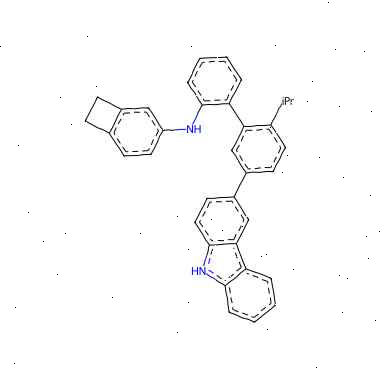 CC(C)c1ccc(-c2ccc3[nH]c4ccccc4c3c2)cc1-c1ccccc1Nc1ccc2c(c1)CC2